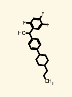 CCCC1CCC(c2ccc(C(O)c3cc(F)c(F)cc3F)cc2)CC1